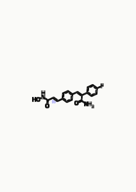 NC(=O)C(=Cc1ccc(/C=C/C(=O)NO)cc1)c1ccc(F)cc1